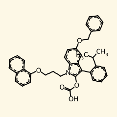 CC(C)c1ccccc1-c1c(OC(=O)O)n(CCCOc2cccc3ccccc23)c2ccc(OCc3ccccc3)cc12